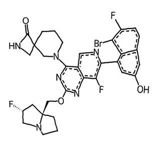 O=C1NCC12CCCN(c1nc(OC[C@@]34CCCN3C[C@H](F)C4)nc3c(F)c(-c4cc(O)cc5ccc(F)c(Br)c45)ncc13)C2